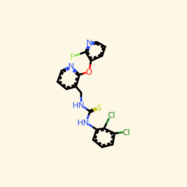 Fc1ncccc1Oc1ncccc1CNC(=S)Nc1cccc(Cl)c1Cl